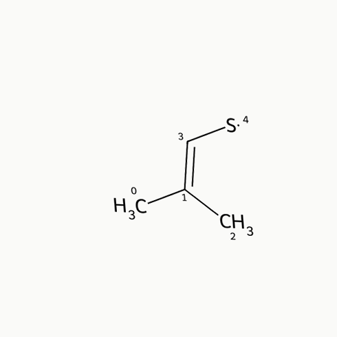 CC(C)=C[S]